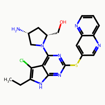 CCc1[nH]c2nc(Sc3cnc4cccnc4c3)nc(N3C[C@H](N)C[C@@H]3CO)c2c1Cl